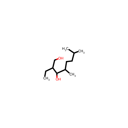 CCC(CO)C(O)C(C)CCC(C)C